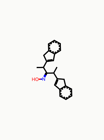 CC(C1=Cc2ccccc2C1)C(=NO)C(C)C1=Cc2ccccc2C1